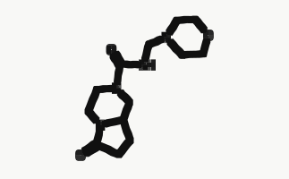 O=C(NCN1CCOCC1)N1CCN2C(=O)CCC2C1